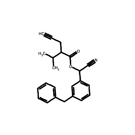 C#CCC(C(=O)OC(C#N)c1cccc(Cc2ccccc2)c1)C(C)C